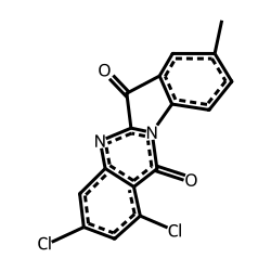 Cc1ccc2c(c1)C(=O)c1nc3cc(Cl)cc(Cl)c3c(=O)n1-2